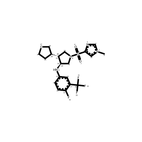 Cn1cnc(S(=O)(=O)N2C[C@@H](Nc3ccc(F)c(C(F)(F)F)c3)[C@H](C3CCOC3)C2)c1